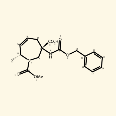 COC(=O)N1C[C@](NC(=O)OCc2ccccc2)(C(=O)O)CC=C[C@H]1C